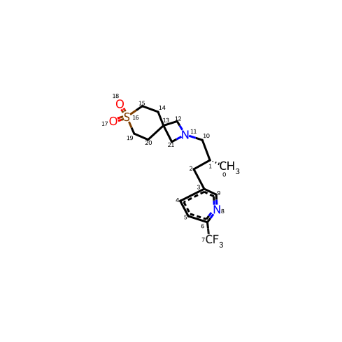 C[C@H](Cc1ccc(C(F)(F)F)nc1)CN1CC2(CCS(=O)(=O)CC2)C1